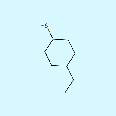 CCC1CCC(S)CC1